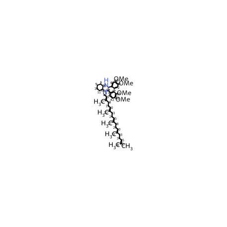 COc1ccc(CN[C@@H]2CCCC[C@H]2N(C/C=C(\C)CC/C=C(\C)CC/C=C(\C)CC/C=C(\C)CCC=C(C)C)Cc2ccc(OC)c(OC)c2)cc1OC